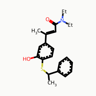 CCN(CC)C(=O)/C=C(\C)c1ccc(SC(C)c2ccccc2)c(O)c1